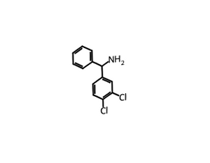 NC(c1ccccc1)c1ccc(Cl)c(Cl)c1